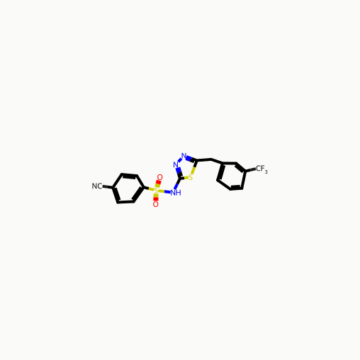 N#Cc1ccc(S(=O)(=O)Nc2nnc(Cc3cccc(C(F)(F)F)c3)s2)cc1